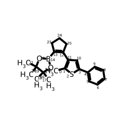 Cc1sc(-c2ccccc2)cc1C1=C(B2OC(C)(C)C(C)(C)O2)CCC1